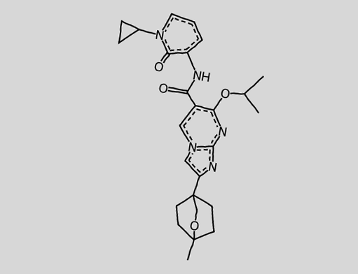 CC(C)Oc1nc2nc(C34CCC(C)(CC3)OC4)cn2cc1C(=O)Nc1cccn(C2CC2)c1=O